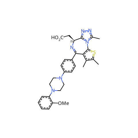 COc1ccccc1N1CCN(c2ccc(C3=N[C@@H](CC(=O)O)c4nnc(C)n4-c4sc(C)c(C)c43)cc2)CC1